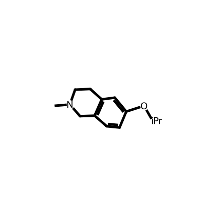 CC(C)Oc1ccc2c(c1)CCN(C)C2